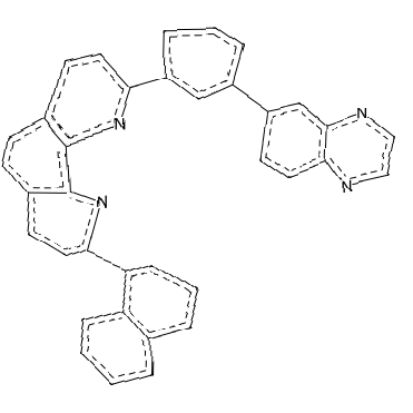 c1cc(-c2ccc3nccnc3c2)cc(-c2ccc3ccc4ccc(-c5cccc6ccccc56)nc4c3n2)c1